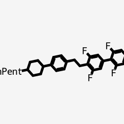 CCCCCC1CCC(c2ccc(CCc3c(F)cc(-c4c(F)cccc4F)cc3F)cc2)CC1